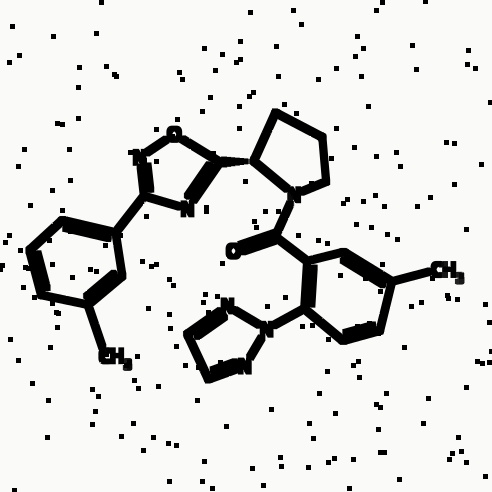 Cc1cccc(-c2noc([C@@H]3CCCN3C(=O)c3cc(C)ccc3-n3nccn3)n2)c1